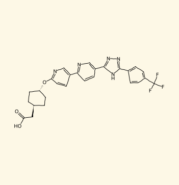 O=C(O)C[C@H]1CC[C@H](Oc2ccc(-c3ccc(-c4nnc(-c5ccc(C(F)(F)F)cc5)[nH]4)cn3)cn2)CC1